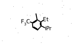 CCc1c(C(C)C)ccc(C(F)(F)F)c1C